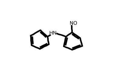 O=Nc1ccccc1Nc1ccccc1